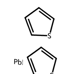 [Pb].c1ccsc1.c1ccsc1